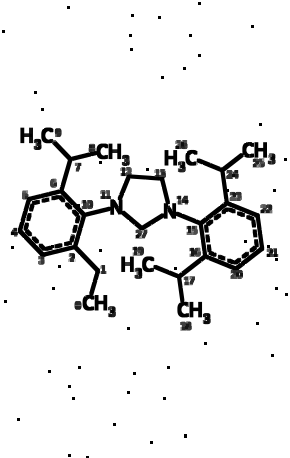 CCc1cccc(C(C)C)c1N1CCN(c2c(C(C)C)cccc2C(C)C)C1